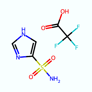 NS(=O)(=O)c1c[nH]cn1.O=C(O)C(F)(F)F